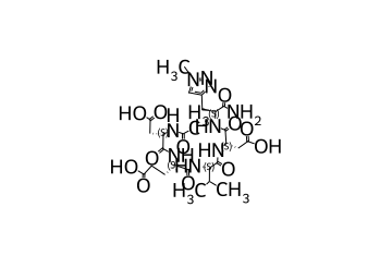 CC(=O)N[C@@H](CC(=O)O)C(=O)N[C@@H](CCC(=O)O)C(=O)N[C@H](C(=O)N[C@@H](CC(=O)O)C(=O)N[C@@H](Cc1cn(C)nn1)C(N)=O)C(C)C